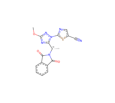 COc1nc([C@H](C)N2C(=O)c3ccccc3C2=O)n(-c2ncc(C#N)s2)n1